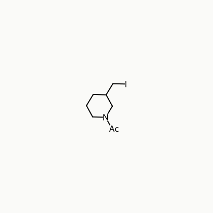 CC(=O)N1CCCC(CI)C1